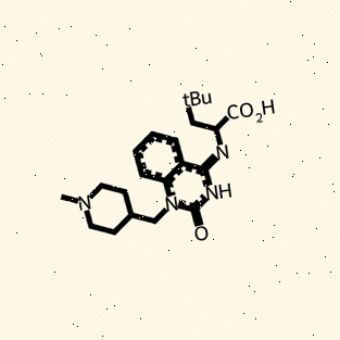 CN1CCC(Cn2c(=O)[nH]/c(=N/C(CC(C)(C)C)C(=O)O)c3ccccc32)CC1